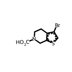 O=C(O)N1CCc2c(Br)csc2C1